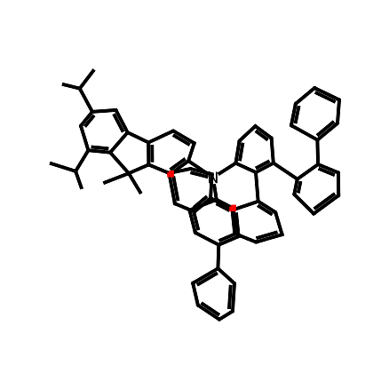 CC(C)c1cc2c(c(C(C)C)c1)C(C)(C)c1cc(N(c3ccc(-c4ccccc4)cc3)c3cccc(-c4ccccc4-c4ccccc4)c3-c3ccccc3-c3ccccc3)ccc1-2